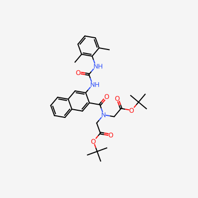 Cc1cccc(C)c1NC(=O)Nc1cc2ccccc2cc1C(=O)N(CC(=O)OC(C)(C)C)CC(=O)OC(C)(C)C